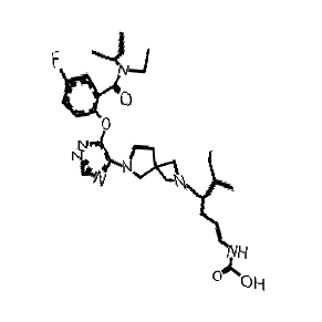 CCN(C(=O)c1cc(F)ccc1Oc1nncnc1N1CCC2(C1)CN(C(CCCNC(=O)O)C(C)C)C2)C(C)C